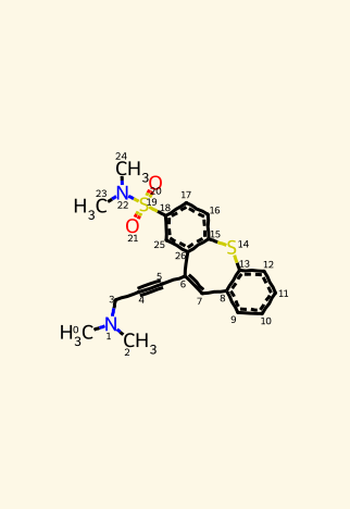 CN(C)CC#CC1=Cc2ccccc2Sc2ccc(S(=O)(=O)N(C)C)cc21